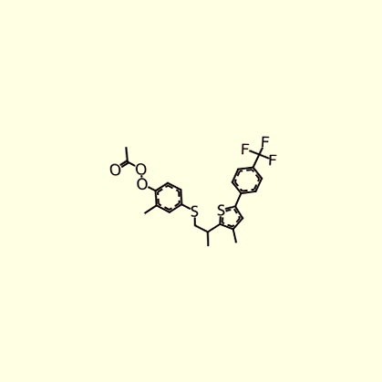 CC(=O)OOc1ccc(SCC(C)c2sc(-c3ccc(C(F)(F)F)cc3)cc2C)cc1C